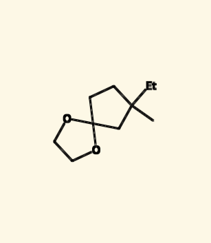 CCC1(C)CCC2(C1)OCCO2